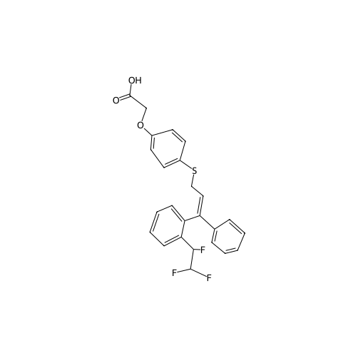 O=C(O)COc1ccc(SCC=C(c2ccccc2)c2ccccc2C(F)C(F)F)cc1